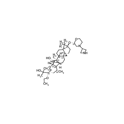 CCO[C@@H]([C@H]1C[C@@H](C)[C@H]2[C@H](O1)[C@H](O)[C@@]1(C)[C@@H]3CC[C@H]4C(C)(C)[C@@H](O[C@H]5CN(C6CNC6)CCO5)CC[C@@]45C[C@@]35CC[C@]21C)C(C)(C)O